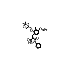 CCCOc1ccc(C=C2C(=O)NN(c3ccccc3)C2=O)c(OC[C@H]2COC(C)(C)O2)c1C